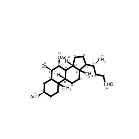 CC[C@@H]1C2C[C@H](OC(C)=O)CCC2(C)[C@H]2CCC3(C)C([C@H](C)CCC=O)CC[C@H]3C2[C@@H]1OC(C)=O